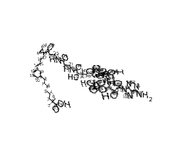 CC(C)(CCCCCCc1cccc(CCCCC2(C(=O)CCNC(=O)CCNC(=O)C(O)C(C)(C)COP(=O)(O)OP(=O)(O)OCC3OC(n4cnc5c(N)ncnc54)C(O)C3OP(=O)(O)O)CC2)c1)C(=O)O